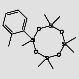 Cc1ccccc1[Si]1(C)O[Si](C)(C)O[Si](C)(C)O[Si](C)(C)O1